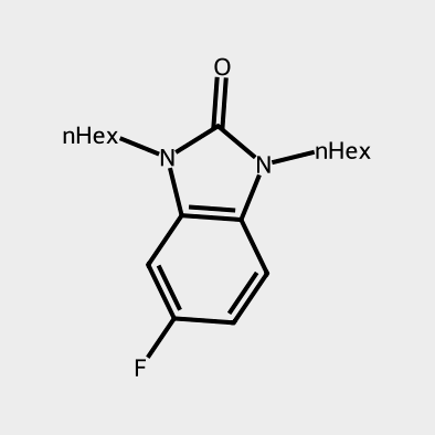 CCCCCCn1c(=O)n(CCCCCC)c2cc(F)ccc21